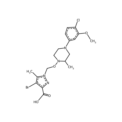 COc1cc(N2CCN(OCn3nc(C(=O)O)c(Br)c3C)C(C)C2)ccc1Cl